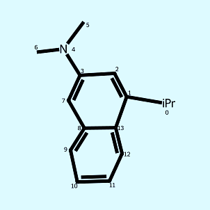 CC(C)c1cc(N(C)C)cc2ccccc12